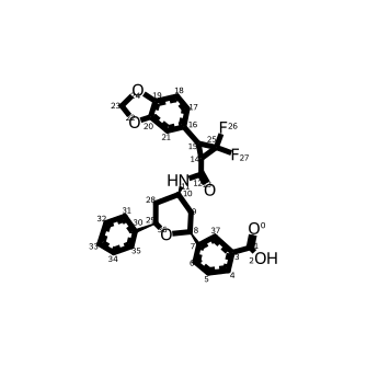 O=C(O)c1cccc([C@@H]2C[C@H](NC(=O)C3C(c4ccc5c(c4)OCO5)C3(F)F)C[C@H](c3ccccc3)O2)c1